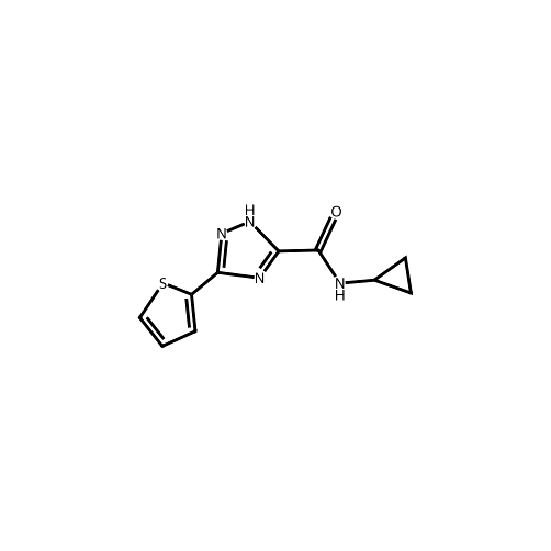 O=C(NC1CC1)c1nc(-c2cccs2)n[nH]1